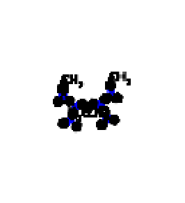 C=Cc1ccc(-n2c3ccccc3c3cc(N(c4ccc(N(c5ccccc5)c5ccccc5)cc4)c4ccc5c(c4)C(C)(C)c4cc(N(c6ccc(N(c7ccccc7)c7ccccc7)cc6)c6ccc7c(c6)c6ccccc6n7-c6ccc(C=C)cc6)ccc4-5)ccc32)cc1